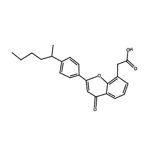 CCCCC(C)c1ccc(-c2cc(=O)c3cccc(CC(=O)O)c3o2)cc1